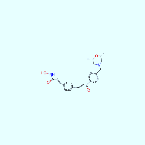 C[C@@H]1CN(Cc2ccc(C(=O)C=Cc3ccc(C=CC(=O)NO)cc3)cc2)C[C@H](C)O1